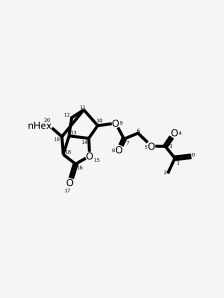 C=C(C)C(=O)OCC(=O)OC1C2CC3C1OC(=O)C3C2CCCCCC